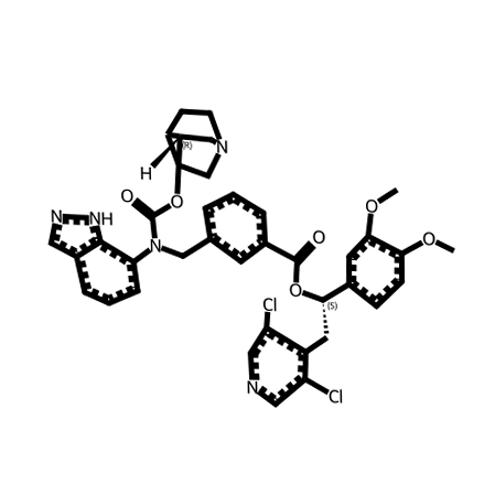 COc1ccc([C@H](Cc2c(Cl)cncc2Cl)OC(=O)c2cccc(CN(C(=O)O[C@H]3CN4CCC3CC4)c3cccc4cn[nH]c34)c2)cc1OC